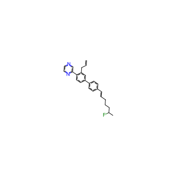 C=CCc1cc(-c2ccc(C=CCCCC(C)F)cc2)ccc1-c1cnccn1